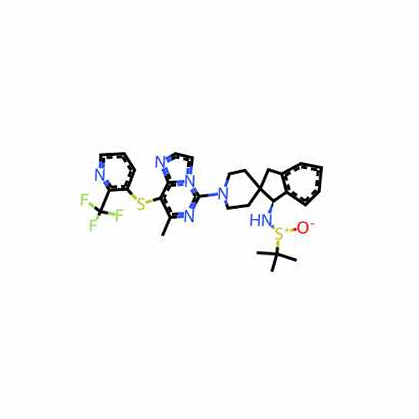 Cc1nc(N2CCC3(CC2)Cc2ccccc2[C@H]3N[S+]([O-])C(C)(C)C)n2ccnc2c1Sc1cccnc1C(F)(F)F